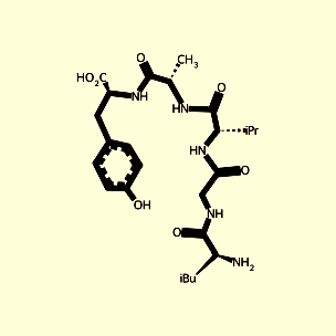 CC[C@H](C)[C@H](N)C(=O)NCC(=O)N[C@H](C(=O)N[C@@H](C)C(=O)N[C@@H](Cc1ccc(O)cc1)C(=O)O)C(C)C